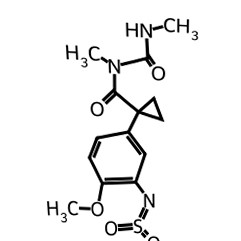 CNC(=O)N(C)C(=O)C1(c2ccc(OC)c(N=S(=O)=O)c2)CC1